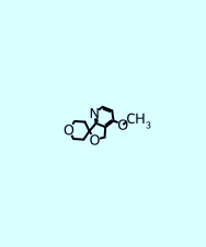 COc1ccnc2c1COC21CCOCC1